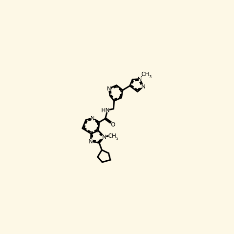 Cn1cc(-c2cncc(CNC(=O)c3nccc4nc(C5CCCC5)n(C)c34)c2)cn1